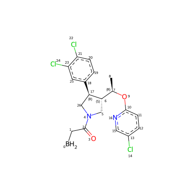 BCC(=O)N1C[C@@H]([C@@H](C)Oc2ccc(Cl)cn2)[C@H](c2ccc(Cl)c(Cl)c2)C1